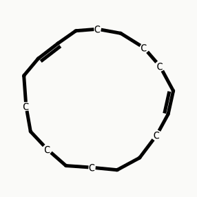 C1=C\CCCCCCCCC/C=C/CCCCC/1